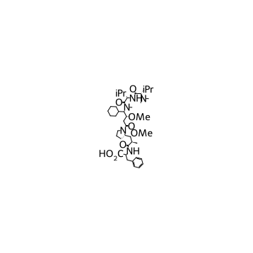 CO[C@H]([C@@H](C)C(=O)N[C@@H](Cc1ccccc1)C(=O)O)[C@@H]1CCCN1C(=O)C[C@@H](OC)[C@H](C1CCCCC1)N(C)C(=O)[C@@H](NC(=O)[C@H](C(C)C)N(C)C)C(C)C